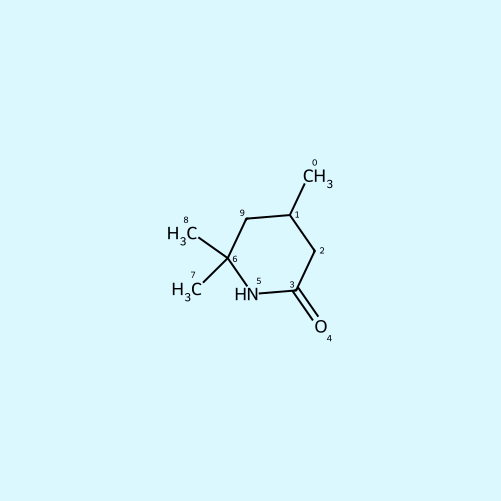 CC1CC(=O)NC(C)(C)C1